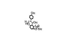 CC(c1ccc(O)cc1)C(O)c1c(O)cccc1SP(=O)(O)O